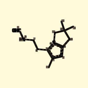 Cc1cc2n(c1CCNC=O)CC(C)(C)C2